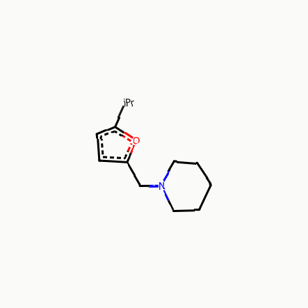 CC(C)c1ccc(CN2CCCCC2)o1